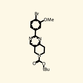 COc1cc(-c2ncc3c(n2)CCN(C(=O)OC(C)(C)C)C3)ccc1Br